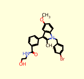 COc1ccc2c(c1)c(-c1cccc(C(=O)NCCO)c1)c(C)n2Cc1ccc(Br)cc1